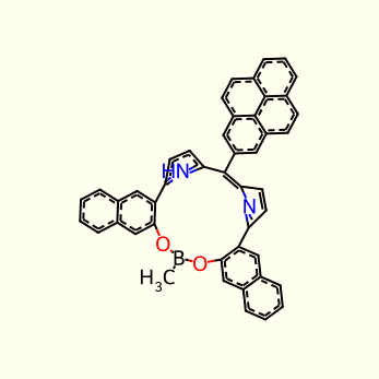 CB1Oc2cc3ccccc3cc2C2=N/C(=C(/c3cc4ccc5cccc6ccc(c3)c4c56)c3ccc([nH]3)-c3cc4ccccc4cc3O1)C=C2